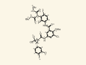 COc1c(Cl)cc(NC(=O)[C@H]2[C@H](c3ccc(F)c(Cl)c3)C2(Cl)Cl)cc1C(=O)Nc1ccc(F)c(N(C(=O)OC(C)(C)C)C(=O)OC(C)(C)C)c1F